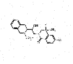 CC1(C)CN(CC(O)C2Cc3ccccc3CN2C(=O)O)C(=O)c2ccc(Br)cc21